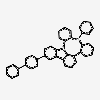 c1ccc(-c2ccc(-c3ccc4c(c3)c3cccc5c6ccccc6n(-c6ccccc6)c6ccccc6n4c53)cc2)cc1